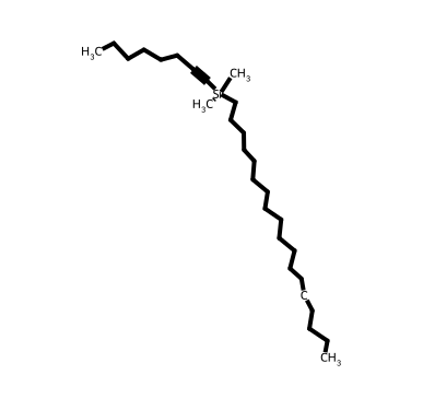 CCCCCCC#C[Si](C)(C)CCCCCCCCCCCCCCCCCC